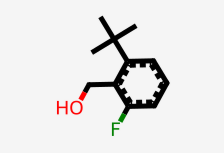 CC(C)(C)c1cccc(F)c1CO